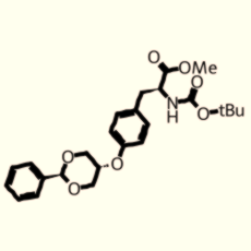 COC(=O)[C@H](Cc1ccc(O[C@H]2CO[C@H](c3ccccc3)OC2)cc1)NC(=O)OC(C)(C)C